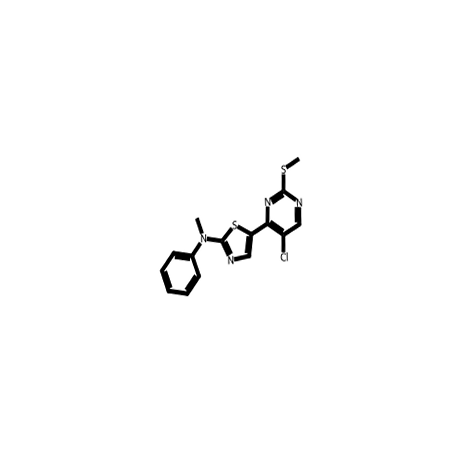 CSc1ncc(Cl)c(-c2cnc(N(C)c3ccccc3)s2)n1